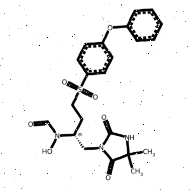 CC1(C)NC(=O)N(C[C@@H](CCS(=O)(=O)c2ccc(Oc3ccccc3)cc2)N(O)C=O)C1=O